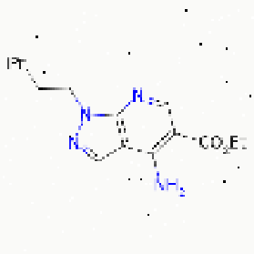 CCOC(=O)c1cnc2c(cnn2CCC(C)C)c1N